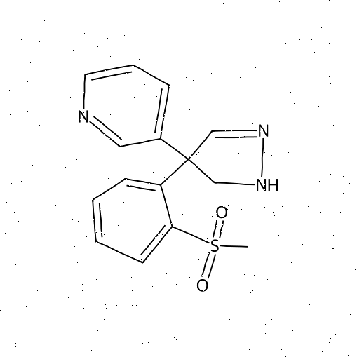 CS(=O)(=O)c1ccccc1C1(c2cccnc2)C=NNC1